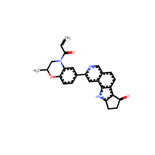 C=CC(=O)N1CC(C)Oc2ccc(-c3cc4c(ccc5c6c([nH]c54)CCC6=O)cn3)cc21